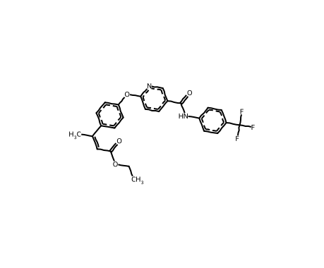 CCOC(=O)/C=C(/C)c1ccc(Oc2ccc(C(=O)Nc3ccc(C(F)(F)F)cc3)cn2)cc1